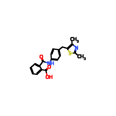 Cc1nc(C)c(Cc2ccc(NC(=O)c3ccccc3C(=O)O)cc2)s1